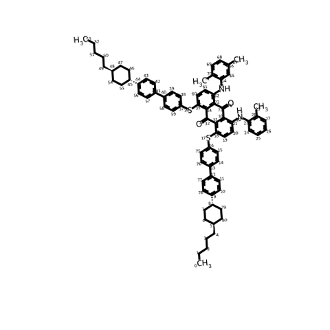 CCCCC[C@H]1CC[C@H](c2ccc(-c3ccc(Sc4ccc(Nc5ccccc5C)c5c4C(=O)c4c(Sc6ccc(-c7ccc([C@H]8CC[C@H](CCCCC)CC8)cc7)cc6)ccc(Nc6cc(C)ccc6C)c4C5=O)cc3)cc2)CC1